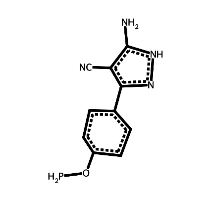 N#Cc1c(-c2ccc(OP)cc2)n[nH]c1N